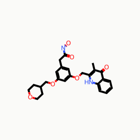 Cc1c(COc2cc(CC(=O)N=O)cc(OCC3CCOCC3)c2)[nH]c2ccccc2c1=O